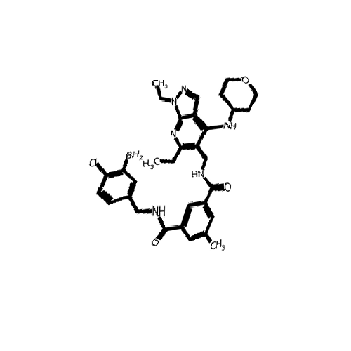 Bc1cc(CNC(=O)c2cc(C)cc(C(=O)NCc3c(CC)nc4c(cnn4CC)c3NC3CCOCC3)c2)ccc1Cl